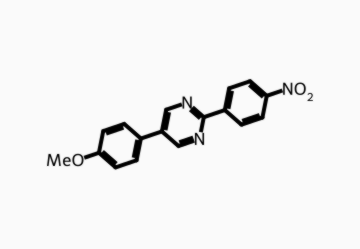 COc1ccc(-c2cnc(-c3ccc([N+](=O)[O-])cc3)nc2)cc1